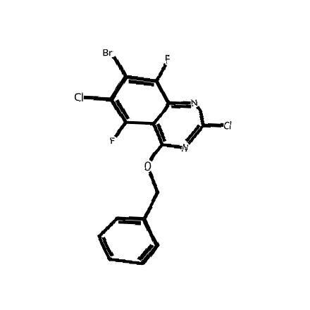 Fc1c(Br)c(Cl)c(F)c2c(OCc3ccccc3)nc(Cl)nc12